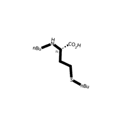 CCCCN[C@@H](CCSCCCC)C(=O)O